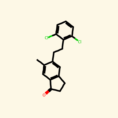 Cc1cc2c(cc1CCc1c(Cl)cccc1Cl)CCC2=O